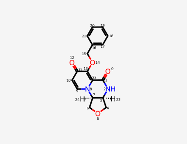 O=C1N[C@H]2COC[C@H]2n2ccc(=O)c(OCc3ccccc3)c21